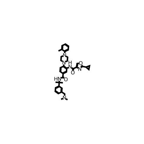 Cc1ccccc1N1CCN(c2ccc(C(=O)NC(C)(C)c3cccc(CN(C)C)c3)cc2NC(=O)c2coc(C3CC3)n2)CC1